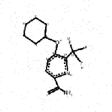 C=C(N)c1ccc(OC2CCCCC2)c(C(F)(F)F)n1